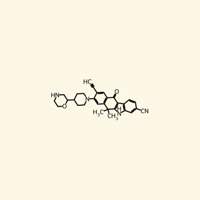 C#Cc1cc2c(cc1N1CCC(C3CNCCO3)CC1)C(C)(C)c1[nH]c3cc(C#N)ccc3c1C2=O